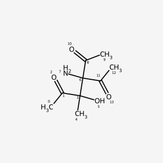 CC(=O)C(C)(O)C(N)(C(C)=O)C(C)=O